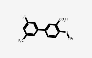 CCCOc1ccc(-c2cc(C(F)(F)F)cc(C(F)(F)F)c2)cc1C(=O)O